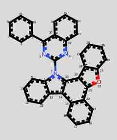 c1ccc(-c2nc(-n3c4ccccc4c4c5ccccc5c5oc6ccccc6c5c43)nc3ccccc23)cc1